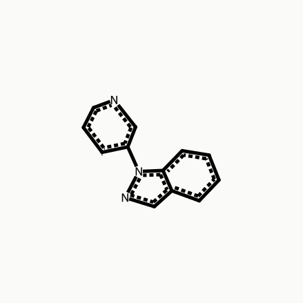 [c]1ccncc1-n1ncc2ccccc21